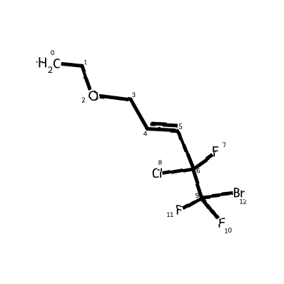 [CH2]COCC=CC(F)(Cl)C(F)(F)Br